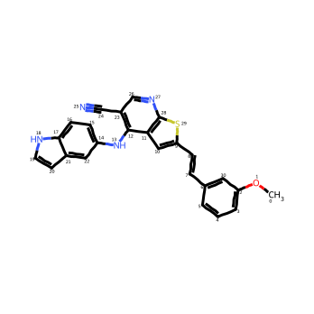 COc1cccc(C=Cc2cc3c(Nc4ccc5[nH]ccc5c4)c(C#N)cnc3s2)c1